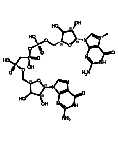 C[n+]1cn([C@@H]2O[C@H](COP(=O)(O)OP(=O)(O)CP(=O)(O)OC[C@H]3O[C@@H](n4cnc5c(=O)[nH]c(N)nc54)[C@@H](O)C3O)C(O)[C@@H]2O)c2nc(N)[nH]c(=O)c21